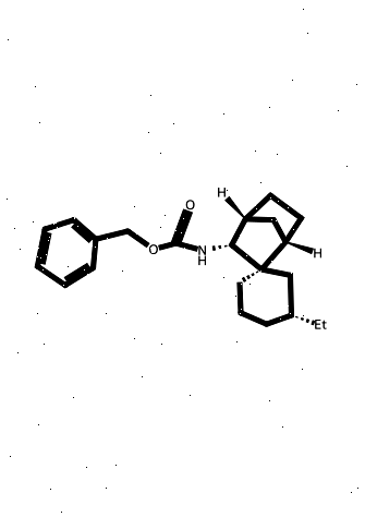 CC[C@@H]1CCC[C@@]2(C1)[C@H]1CC[C@H](C1)[C@H]2NC(=O)OCc1ccccc1